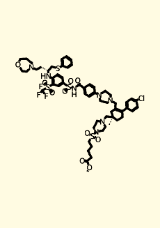 COC(=O)CCCCS(=O)(=O)N1CCN(C[C@]2(C)CCC(c3ccc(Cl)cc3)=C(CN3CCN(c4ccc(C(=O)NS(=O)(=O)c5ccc(N[C@H](CCN6CCCOCC6)CSc6ccccc6)c(S(=O)(=O)C(F)(F)F)c5)cc4)CC3)C2)CC1